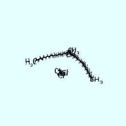 CCCCCCCCCCCCCCCCCC[N+](C)(C)CCCCCCCCCCCCCCCCCC.[Cl][Zn-]([Cl])[Cl]